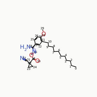 CCCCCCCCCCCc1cc(/C(N)=N/OC(=O)C2(C#N)CC2)ccc1OC